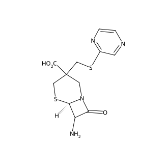 NC1C(=O)N2CC(CSc3cnccn3)(C(=O)O)CS[C@H]12